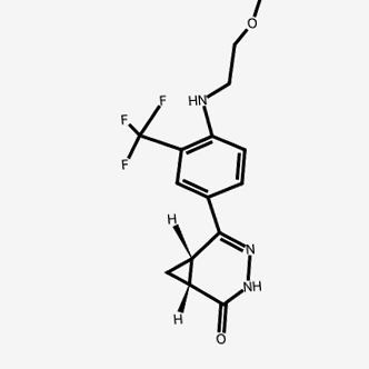 COCCNc1ccc(C2=NNC(=O)[C@@H]3C[C@H]23)cc1C(F)(F)F